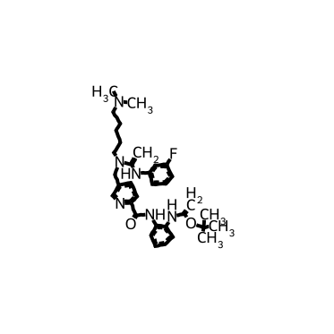 C=C(Nc1ccccc1NC(=O)c1ccc(CN(CCCCCN(C)C)C(=C)Nc2cccc(F)c2)cn1)OC(C)(C)C